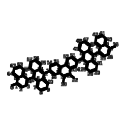 Cc1ccc(-c2c3ccccc3c(-c3ccc4c(c3)c(C)c(C)c3cc(-c5c6ccccc6c(-c6ccc(C)c7ccccc67)c6ccccc56)ccc34)c3ccccc23)c2ccccc12